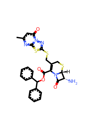 Cc1cc(=O)n2nc(SCC3=C(C(=O)OC(c4ccccc4)c4ccccc4)N4C(=O)[C@@H](N)[C@H]4SC3)sc2n1